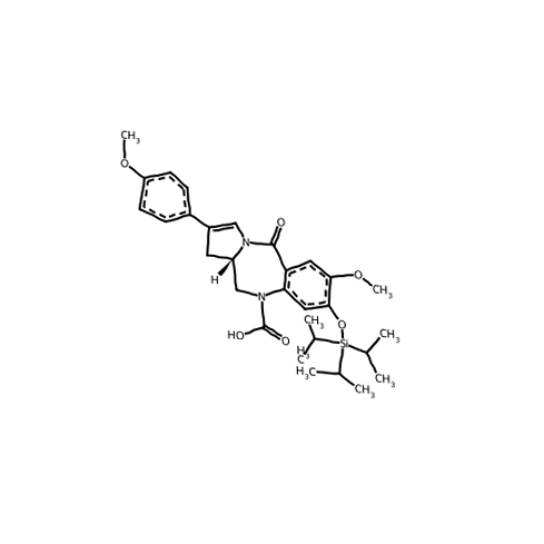 COc1ccc(C2=CN3C(=O)c4cc(OC)c(O[Si](C(C)C)(C(C)C)C(C)C)cc4N(C(=O)O)C[C@@H]3C2)cc1